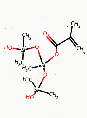 C=C(C)C(=O)O[Si](C)(O[Si](C)(C)O)O[Si](C)(C)O